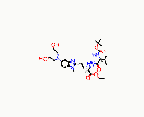 CCOC(=O)[C@H](CCc1nc2cc(N(CCO)CCO)ccc2n1C)NC(=O)[C@@H](NC(=O)OC(C)(C)C)C(C)C